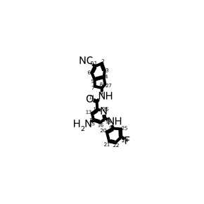 N#Cc1ccc2c(c1)CC(NC(=O)c1cc(N)cc(Nc3cccc(F)c3)n1)C2